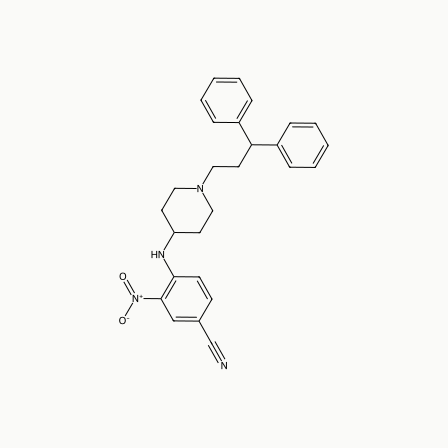 N#Cc1ccc(NC2CCN(CCC(c3ccccc3)c3ccccc3)CC2)c([N+](=O)[O-])c1